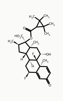 C[C@@H]1C[C@H]2[C@@H]3C[C@H](F)C4=CC(=O)C=C[C@]4(C)[C@@]3(F)[C@@H](O)C[C@]2(C)[C@@]1(OC(=O)C1C(C)(C)C1(C)C)C(=O)O